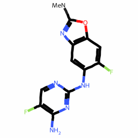 CNc1nc2cc(Nc3ncc(F)c(N)n3)c(F)cc2o1